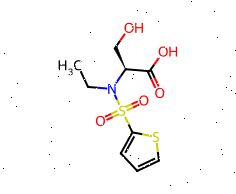 CCN([C@@H](CO)C(=O)O)S(=O)(=O)c1cccs1